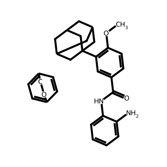 COc1ccc(C(=O)Nc2ccccc2N)cc1C12CC3CC(CC(C3)C1)C2.c1cc2ccc1CO2